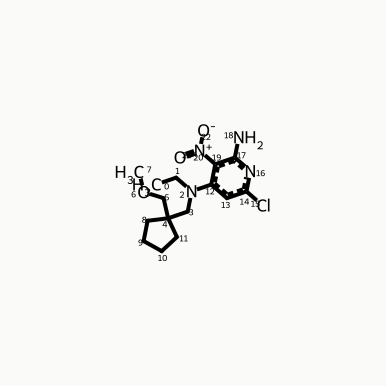 CCN(CC1(COC)CCCC1)c1cc(Cl)nc(N)c1[N+](=O)[O-]